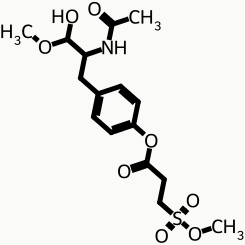 COC(O)C(Cc1ccc(OC(=O)CCS(=O)(=O)OC)cc1)NC(C)=O